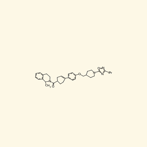 CC(C)c1noc(N2CCC(COc3ccc(C4=CCC(C(=O)N5CCc6ccccc6C5C)CC4)cc3)CC2)n1